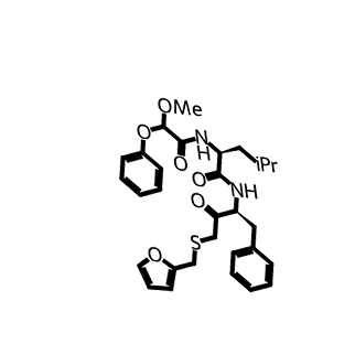 COC(Oc1ccccc1)C(=O)N[C@@H](CC(C)C)C(=O)N[C@@H](Cc1ccccc1)C(=O)CSCc1ccco1